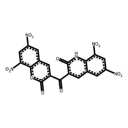 O=C(c1cc2cc([N+](=O)[O-])cc([N+](=O)[O-])c2[nH]c1=O)c1cc2cc([N+](=O)[O-])cc([N+](=O)[O-])c2oc1=O